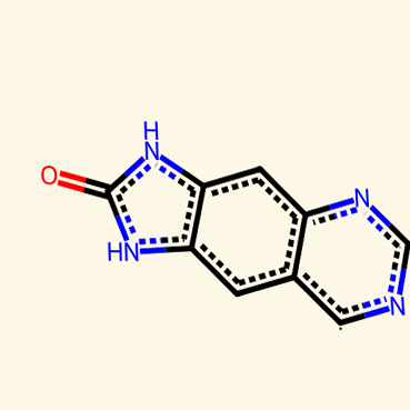 O=c1[nH]c2cc3[c]ncnc3cc2[nH]1